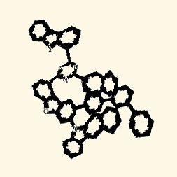 c1ccc(-c2cccc(-c3ccc(-c4cc5c(cc4-n4c6ccccc6c6cc7ccccc7cc64)oc4cccc(-c6nc(-c7ccc8ccccc8c7)nc(-c7cccc8c7sc7ccccc78)n6)c45)cc3)c2)cc1